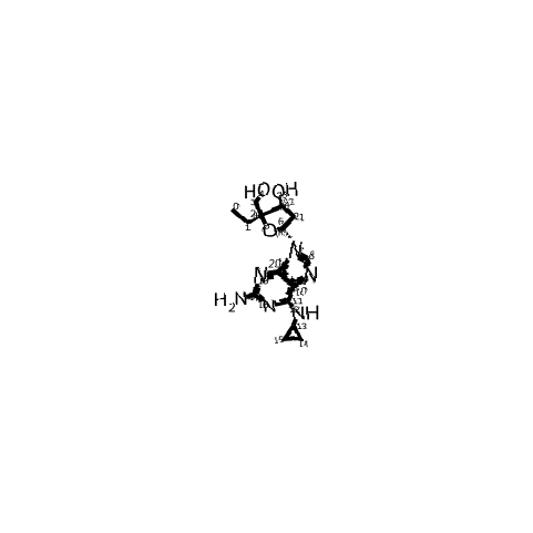 CC[C@]1(CO)O[C@@H](n2cnc3c(NC4CC4)nc(N)nc32)C[C@@H]1O